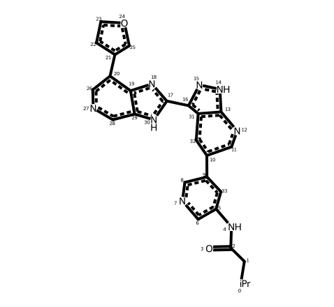 CC(C)CC(=O)Nc1cncc(-c2cnc3[nH]nc(-c4nc5c(-c6ccoc6)cncc5[nH]4)c3c2)c1